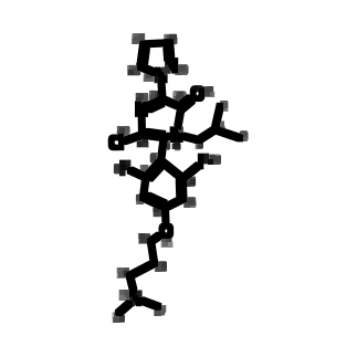 CC(C)Cn1c(-c2c(F)cc(OCCCN(C)C)cc2F)c(Cl)nc(-n2cccn2)c1=O